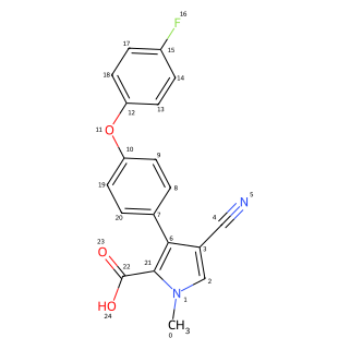 Cn1cc(C#N)c(-c2ccc(Oc3ccc(F)cc3)cc2)c1C(=O)O